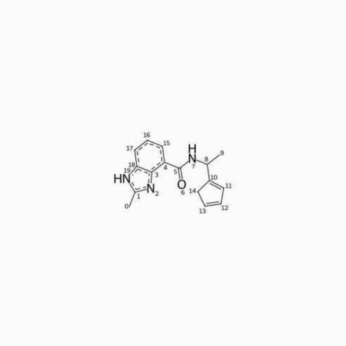 Cc1nc2c(C(=O)NC(C)C3=CC=CC3)cccc2[nH]1